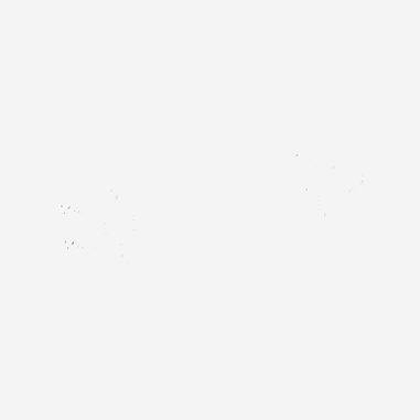 COC1=C(OC)C(=O)C(CCCCCCCCCCOC(=O)c2ccccc2OC(C)=O)=C(C)C1=O